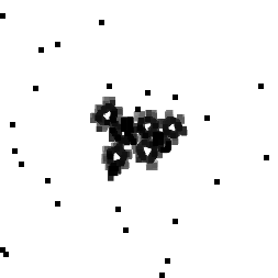 O=P(c1ccccc1)(c1ccccc1)c1cccc(-c2nc(-c3ccccc3)nc(-c3ccc(F)cc3)n2)c1